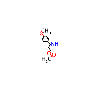 COc1ccc(C(=N)CCOC(C)=O)cc1